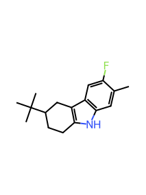 Cc1cc2[nH]c3c(c2cc1F)CC(C(C)(C)C)CC3